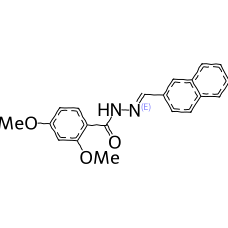 COc1ccc(C(=O)N/N=C/c2ccc3ccccc3c2)c(OC)c1